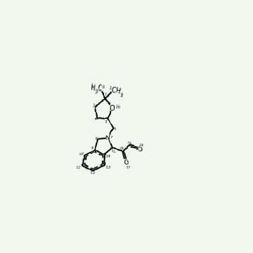 CC1(C)CCC(CN2Cc3ccccc3C2C(=O)C=O)O1